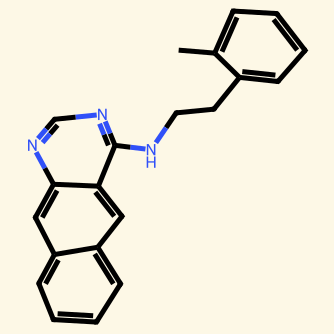 Cc1ccccc1CCNc1ncnc2cc3ccccc3cc12